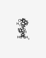 Cc1sc(C(=O)c2cncnc2N[C@@H]2C[C@@H](C)[C@H](O)C2)cc1[C@@H]1OCCc2cnc(Cl)cc21